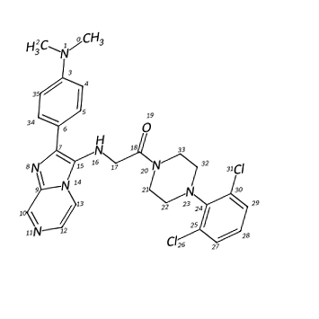 CN(C)c1ccc(-c2nc3cnccn3c2NCC(=O)N2CCN(c3c(Cl)cccc3Cl)CC2)cc1